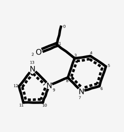 CC(=O)c1cccnc1-n1cccn1